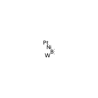 [B].[Ni].[Pt].[W]